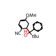 COC1=CC=C(C#N)C(C(O)(c2ccccc2)C(C)(C)C)C1